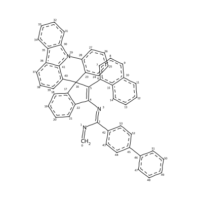 C=N/C(=N\C1=C(c2cccc3ccccc23)C2(c3ccccc31)c1ccccc1-n1c3ccccc3c3cccc2c31)c1ccc(-c2ccccc2)cc1